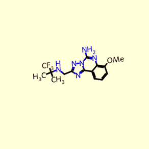 COc1cccc2c1nc(N)n1nc(CNC(C)(C)C(F)(F)F)nc21